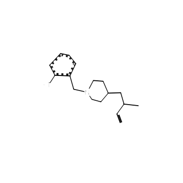 CC(C=O)CC1CCN(Cc2ccccc2Cl)CC1